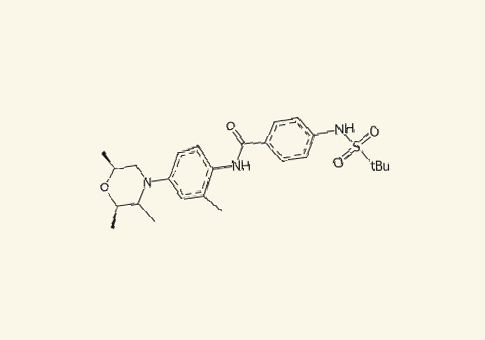 Cc1cc(N2C[C@H](C)O[C@H](C)C2C)ccc1NC(=O)c1ccc(NS(=O)(=O)C(C)(C)C)cc1